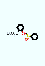 CCOC(=O)c1ccccc1OC[S+]([O-])c1ccccc1